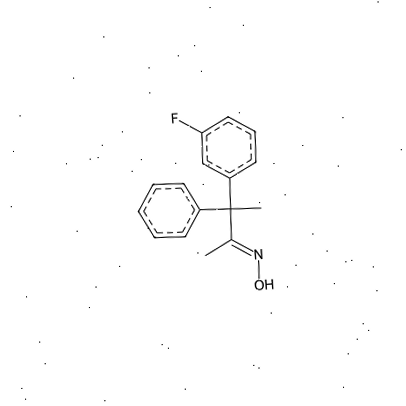 C/C(=N\O)C(C)(c1ccccc1)c1cccc(F)c1